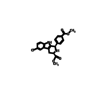 COC(=O)c1ccc([C@H]2N[C@@H](C(=O)OC)Cc3c2[nH]c2ccc(Cl)cc32)cc1